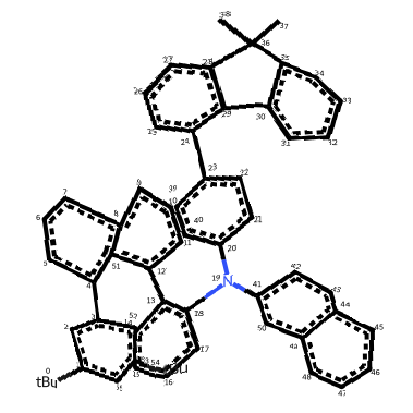 CC(C)(C)c1cc(-c2cccc3cccc(-c4ccccc4N(c4ccc(-c5cccc6c5-c5ccccc5C6(C)C)cc4)c4ccc5ccccc5c4)c23)cc(C(C)(C)C)c1